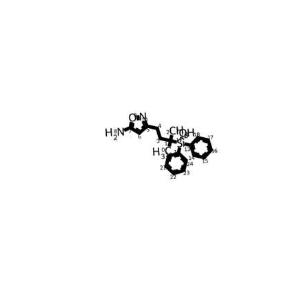 CC(C)(CCc1cc(N)on1)[Si](O)(c1ccccc1)c1ccccc1